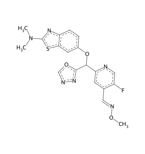 CO/N=C/c1cc(C(Oc2ccc3nc(N(C)C)sc3c2)c2nnco2)ncc1F